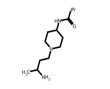 CC(N)CCN1CCC(NC(=O)C(C)C)CC1